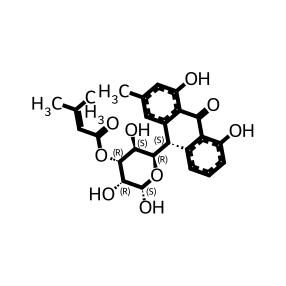 CC(C)=CC(=O)O[C@@H]1[C@@H](O)[C@@H]([C@H]2c3cccc(O)c3C(=O)c3c(O)cc(C)cc32)O[C@H](O)[C@@H]1O